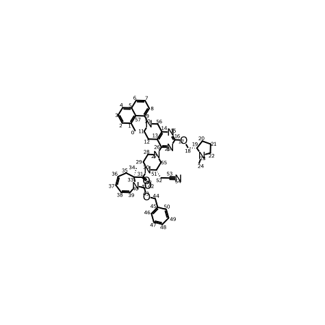 Cc1cccc2cccc(N3CCc4c(nc(OC[C@@H]5CCCN5C)nc4N4CCN(C(=O)[C@]5(C)CC=CC=CN5C(=O)OCc5ccccc5)[C@@H](CC#N)C4)C3)c12